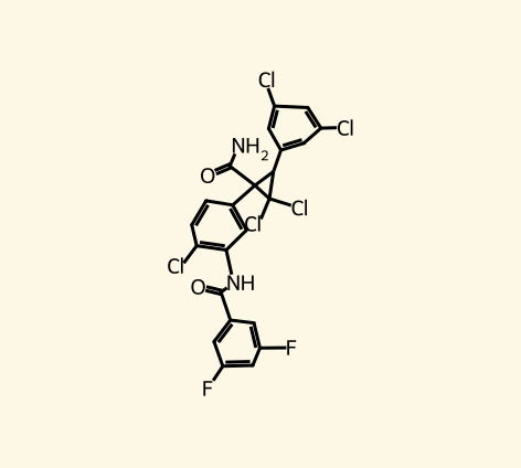 NC(=O)C1(c2ccc(Cl)c(NC(=O)c3cc(F)cc(F)c3)c2)C(c2cc(Cl)cc(Cl)c2)C1(Cl)Cl